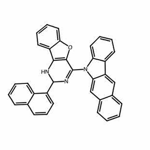 c1ccc2cc3c(cc2c1)c1ccccc1n3C1=NC(c2cccc3ccccc23)Nc2c1oc1ccccc21